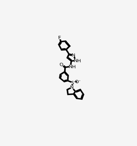 O=C(Nc1cc(-c2ccc(F)cc2)n[nH]1)c1cccc([S+]([O-])N2CCc3ccccc32)c1